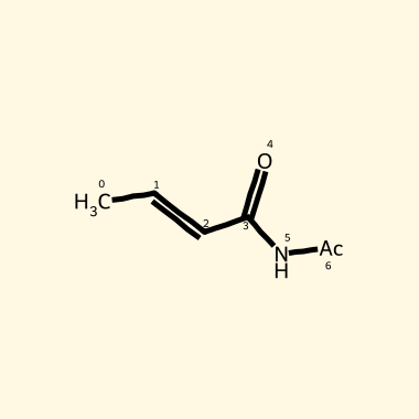 CC=CC(=O)NC(C)=O